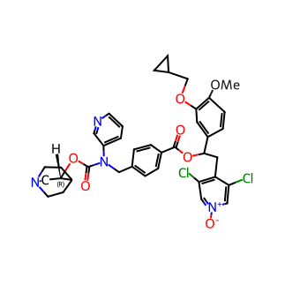 COc1ccc(C(Cc2c(Cl)c[n+]([O-])cc2Cl)OC(=O)c2ccc(CN(C(=O)O[C@H]3CN4CCC3CC4)c3cccnc3)cc2)cc1OCC1CC1